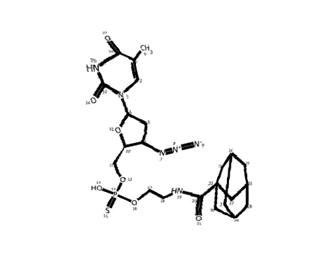 Cc1cn(C2CC(N=[N+]=[N-])[C@@H](COP(O)(=S)OCCNC(=O)C34CC5CC(CC(C5)C3)C4)O2)c(=O)[nH]c1=O